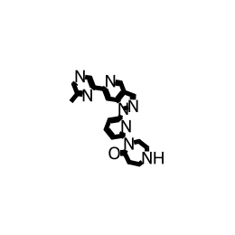 Cc1cncc(-c2cc3c(cn2)cnn3-c2cccc(N3CCNCCC3=O)n2)n1